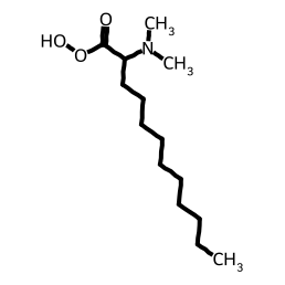 CCCCCCCCCCC(C(=O)OO)N(C)C